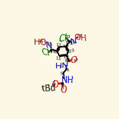 CC(C)(C)OC(=O)NCCNC(=O)c1cc(C(Cl)=NO)cc(C(Cl)=NO)c1